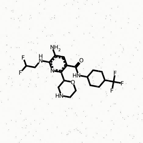 Nc1cc(C(=O)NC2CCC(C(F)(F)F)CC2)c(C2CNCCO2)nc1NCC(F)F